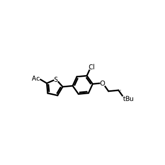 CC(=O)c1ccc(-c2ccc(OC[CH]C(C)(C)C)c(Cl)c2)s1